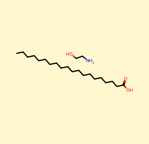 CCCCCCCCCCCCCCCCCCCC(=O)O.NCCO